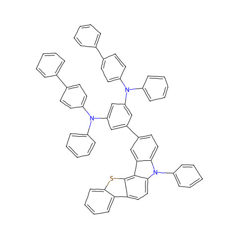 c1ccc(-c2ccc(N(c3ccccc3)c3cc(-c4ccc5c(c4)c4c6sc7ccccc7c6ccc4n5-c4ccccc4)cc(N(c4ccccc4)c4ccc(-c5ccccc5)cc4)c3)cc2)cc1